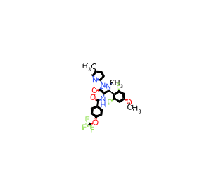 COc1cc(F)c(-c2c(NC(=O)c3ccc(OC(F)(F)F)cc3)c(=O)n(-c3ccc(C)cn3)n2C)c(F)c1